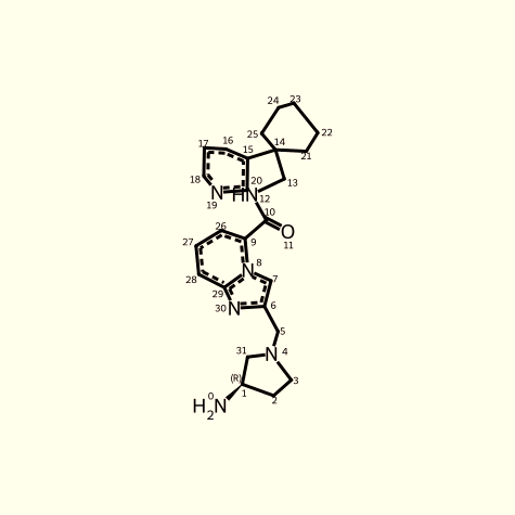 N[C@@H]1CCN(Cc2cn3c(C(=O)NCC4(c5cccnc5)CCCCC4)cccc3n2)C1